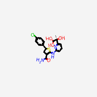 C[C@](O)(c1cccc(NC2=C(C(N)=O)CC(c3ccc(Cl)cc3)S2)n1)C(O)O